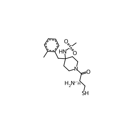 Cc1ccccc1CC1(NS(C)(=O)=O)CCN(C(=O)[C@@H](N)CS)CC1